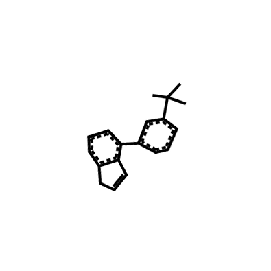 CC(C)(C)c1cccc(-c2cccc3c2C=CC3)c1